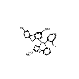 CC(C)(C)c1ccc2c(c1)-c1cc(C(C)(C)C)c[c]([Zr]([C]3=CC=CC3)=[C](c3ccccc3C(F)(F)F)c3ccccc3C(F)(F)F)c1C2.Cl.Cl